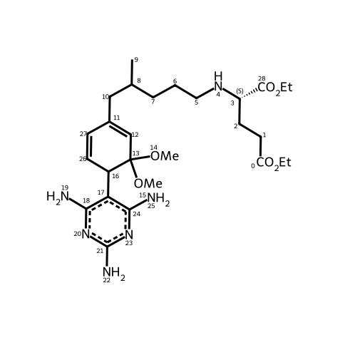 CCOC(=O)CC[C@H](NCCCC(C)CC1=CC(OC)(OC)C(c2c(N)nc(N)nc2N)C=C1)C(=O)OCC